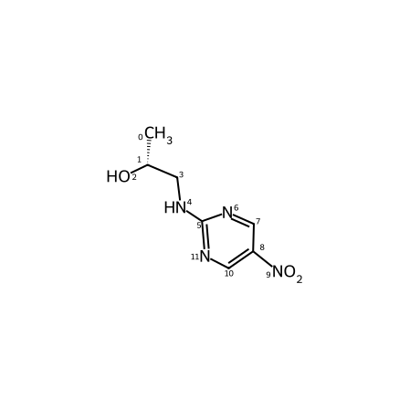 C[C@@H](O)CNc1ncc([N+](=O)[O-])cn1